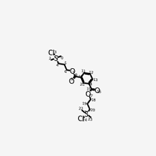 CS(C)(Cl)CCCOC(=O)c1cccc(C(=O)OCCCS(C)(C)Cl)c1